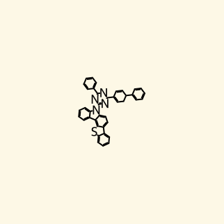 C1=CC(c2ccccc2)CC=C1c1nc(-c2ccccc2)nc(-n2c3ccccc3c3c4sc5ccccc5c4ccc32)n1